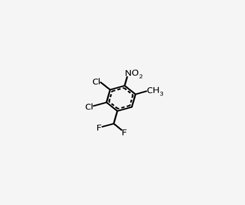 Cc1cc(C(F)F)c(Cl)c(Cl)c1[N+](=O)[O-]